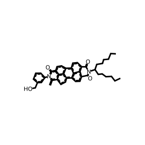 C=c1c2ccc3c4ccc5c6c(ccc(c7ccc(c(=O)n1-c1cccc(CO)c1)c2c37)c64)C(=O)N(C(CCCCCC)CCCCCC)C5=O